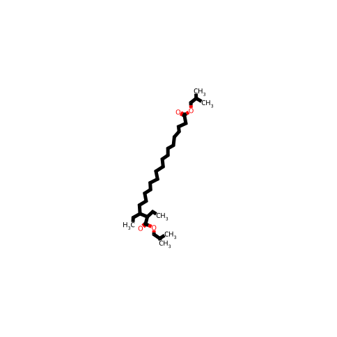 CCC(CCCCCCCCCCCCCCCCC(=O)OCC(C)C)C(CC)C(=O)OCC(C)C